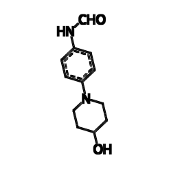 O=CNc1ccc(N2CCC(O)CC2)cc1